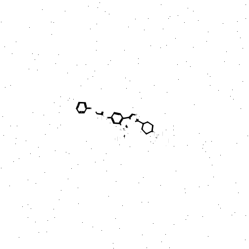 CC(C)(C)NS(=O)(=O)c1cc(NC(=O)COc2ccccc2)ccc1-c1cnc(C2CCC(NC(=O)O)CC2)s1